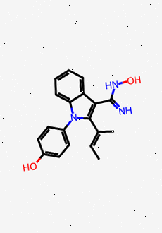 C/C=C(\C)c1c(C(=N)NO)c2ccccc2n1-c1ccc(O)cc1